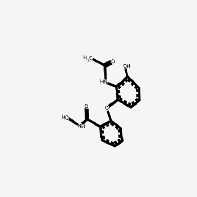 CC(=O)Nc1c(O)cccc1Oc1ccccc1C(=O)NO